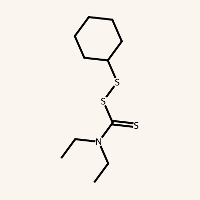 CCN(CC)C(=S)SSC1CCCCC1